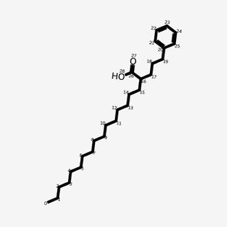 CCCCCCCCCCCCCCCCC(CCCc1ccccc1)C(=O)O